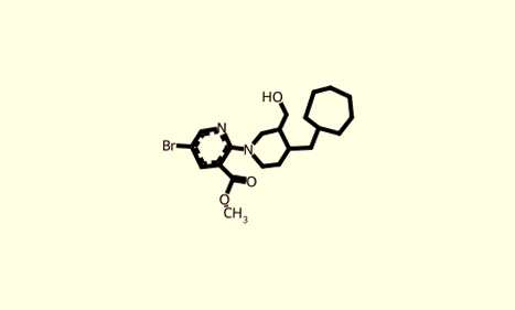 COC(=O)c1cc(Br)cnc1N1CCC(CC2CCCCCC2)C(CO)C1